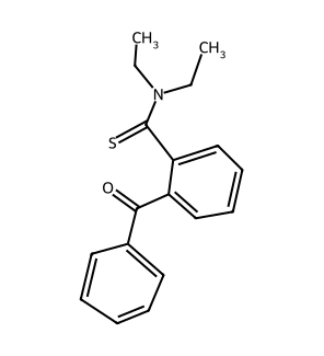 CCN(CC)C(=S)c1ccccc1C(=O)c1ccccc1